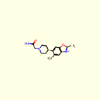 Cc1cc2c(cc1C1CCN(CC(N)=O)CC1)OC(C)N2